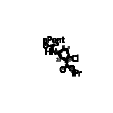 CCCCCOC(=S)Nc1ccc(Cl)c(C(=O)OC(C)C)c1